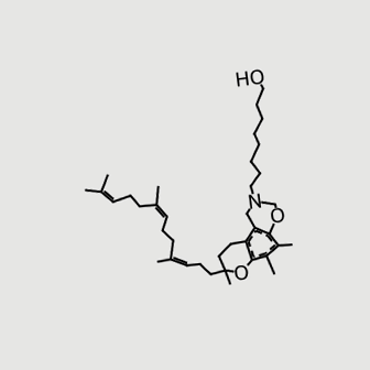 CC(C)=CCCC(C)=CCCC(C)=CCCC1(C)CCc2c3c(c(C)c(C)c2O1)OCN(CCCCCCCCO)C3